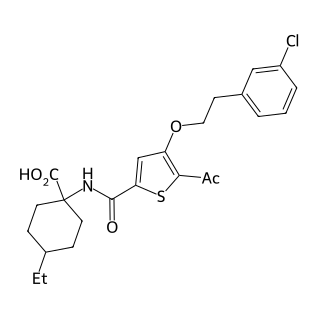 CCC1CCC(NC(=O)c2cc(OCCc3cccc(Cl)c3)c(C(C)=O)s2)(C(=O)O)CC1